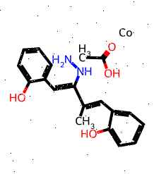 CC(=Cc1ccccc1O)C(=Cc1ccccc1O)NN.CC(=O)O.[Co]